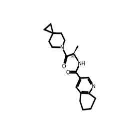 C[C@@H](NC(=O)c1cnc2c(c1)CCCC2)C(=O)N1CCC2(CC1)CC2